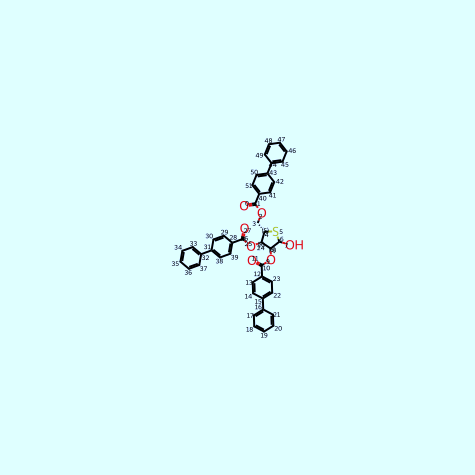 O=C(OC[C@@H]1SC(O)[C@@H](OC(=O)c2ccc(-c3ccccc3)cc2)[C@H]1OC(=O)c1ccc(-c2ccccc2)cc1)c1ccc(-c2ccccc2)cc1